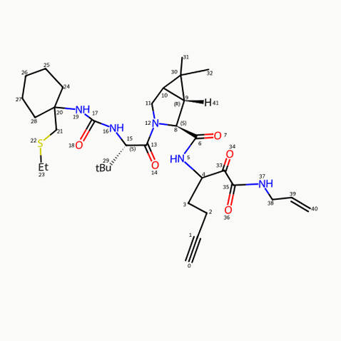 C#CCCC(NC(=O)[C@@H]1[C@@H]2C(CN1C(=O)[C@@H](NC(=O)NC1(CSCC)CCCCC1)C(C)(C)C)C2(C)C)C(=O)C(=O)NCC=C